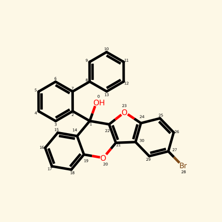 OC1(c2ccccc2-c2ccccc2)c2ccccc2Oc2c1oc1ccc(Br)cc21